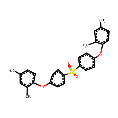 Cc1ccc(Oc2ccc(S(=O)(=O)c3ccc(Oc4ccc(C)cc4C(F)(F)F)cc3)cc2)c(C(F)(F)F)c1